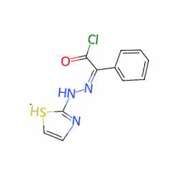 C[SH]1C=CN=C1NN=C(C(=O)Cl)c1ccccc1